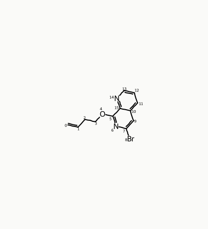 C=CCCOc1nc(Br)cc2cccnc12